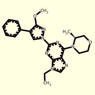 CCn1cnc2c(N3CCOC[C@@H]3C)nc(-n3cc(-c4ccccc4)c(OC)n3)nc21